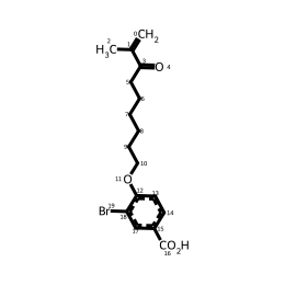 C=C(C)C(=O)CCCCCCOc1ccc(C(=O)O)cc1Br